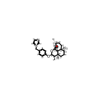 C[C@H]1[C@@H](Oc2ccc(Cn3ccnc3)cc2)O[C@@H]2O[C@]3(C)CC[C@H]4[C@H](C)CC[C@@H]1[C@@]24OO3